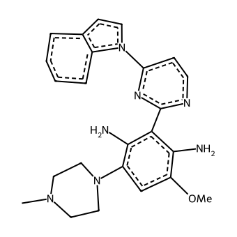 COc1cc(N2CCN(C)CC2)c(N)c(-c2nccc(-n3ccc4ccccc43)n2)c1N